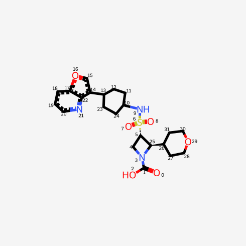 O=C(O)N1C[C@H](S(=O)(=O)NC2CCC(c3coc4cccnc34)CC2)[C@H]1C1CCOCC1